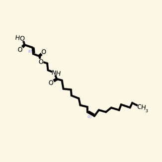 CCCCCCCC/C=C\CCCCCCCC(=O)NCCOC(=O)/C=C/C(=O)O